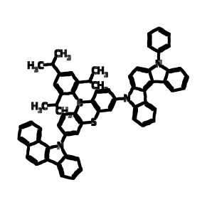 CC(C)c1cc(C(C)C)c(B2c3ccc(-n4c5ccccc5c5c6c7ccccc7n(-c7ccccc7)c6ccc54)cc3Sc3cc(-n4c5ccccc5c5ccc6ccccc6c54)ccc32)c(C(C)C)c1